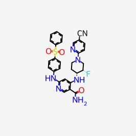 N#Cc1ccc(N2CC[C@@H](Nc3cc(Nc4ccc(S(=O)(=O)c5ccccc5)cc4)ncc3C(N)=O)[C@@H](F)C2)nc1